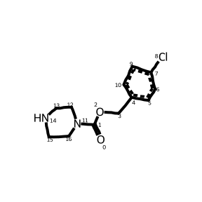 O=C(OCc1ccc(Cl)cc1)N1CCNCC1